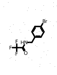 O=C(NCc1ccc(Br)cc1)C(F)(F)F